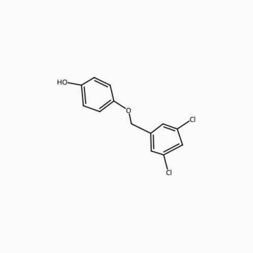 Oc1ccc(OCc2cc(Cl)cc(Cl)c2)cc1